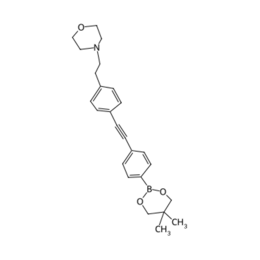 CC1(C)COB(c2ccc(C#Cc3ccc(CCN4CCOCC4)cc3)cc2)OC1